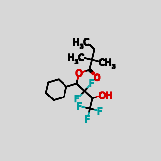 CCC(C)(C)C(=O)OC(C1CCCCC1)C(F)(F)C(O)C(F)(F)F